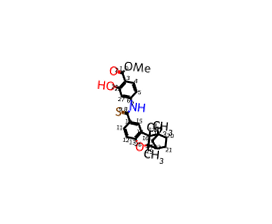 COC(=O)c1ccc(NC(=S)c2ccc3c(c2)C2(C)C4(C)CCC(C4)C2(C)O3)cc1O